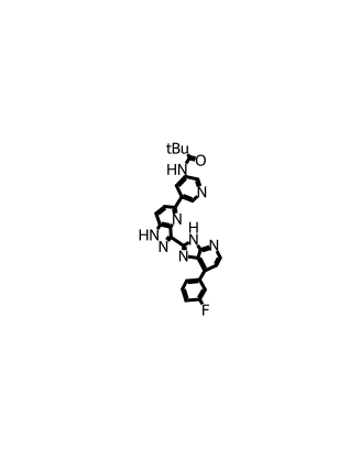 CC(C)(C)C(=O)Nc1cncc(-c2ccc3[nH]nc(-c4nc5c(-c6cccc(F)c6)ccnc5[nH]4)c3n2)c1